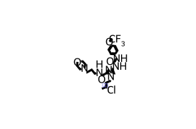 C/C(Cl)=C/Cn1cc(NC(=O)Nc2ccc(OC(F)(F)F)cc2)nc1C(=O)NCCCN1CCOCC1